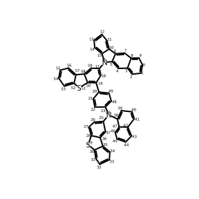 c1ccc2cc3c(cc2c1)c1ccccc1n3-c1cc(-c2ccc(N(c3ccc4sc5ccccc5c4c3)c3cccc4ccccc34)cc2)c2sc3ccccc3c2c1